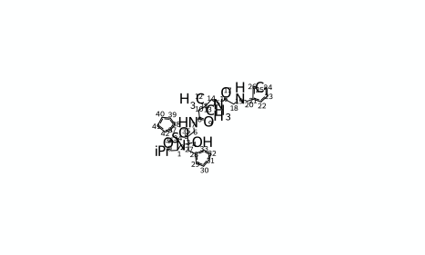 CC(C)CN(C(O)(CCNC(=O)CC(C)(C)CNC(=O)CNCc1ccccc1)Cc1ccccc1)S(=O)(=O)c1ccccc1